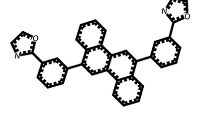 c1cc(-c2ncco2)cc(-c2cc3c4ccccc4c(-c4cccc(-c5ncco5)c4)cc3c3ccccc23)c1